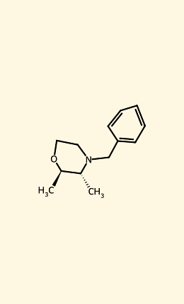 C[C@@H]1[C@@H](C)OCCN1Cc1ccccc1